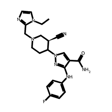 CCn1ccnc1CN1CCC(n2cc(C(N)=O)c(Nc3ccc(F)cc3)n2)[C@H](C#N)C1